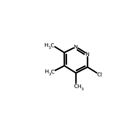 Cc1nnc(Cl)c(C)c1C